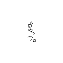 C[C@H](c1ccccc1)C1CNC(c2cccc(-c3c[nH]c(-c4cc5ccccc5cn4)n3)c2)=N1